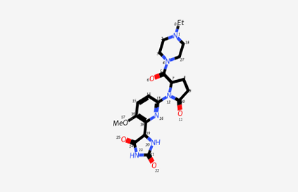 CCN1CCN(C(=O)C2CCC(=O)N2c2ccc(OC)c(C3NC(=O)NC3=O)n2)CC1